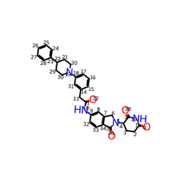 O=C1CCC(N2Cc3cc(NC(=O)Cc4cccc(N5CCC(c6ccccc6)CC5)c4)ccc3C2=O)C(=O)N1